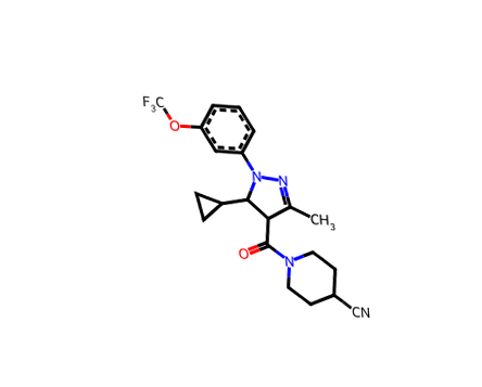 CC1=NN(c2cccc(OC(F)(F)F)c2)C(C2CC2)C1C(=O)N1CCC(C#N)CC1